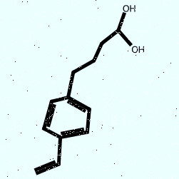 C=Cc1ccc(CCCC(O)O)cc1